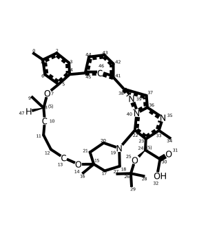 Cc1ccc2c(c1)O[C@@H](C)CCCCOC1(C)CCN(CC1)c1c([C@H](OC(C)(C)C)C(=O)O)c(C)nc3cc(nn13)-c1cccc-2c1